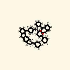 c1ccc(-c2ccc(N(c3ccc(-c4cccc5c4-c4cc6c(cc4C5)CCC(c4ccccc4)O6)cc3)c3ccccc3-c3cccc4ccccc34)cc2)cc1